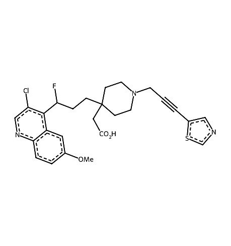 COc1ccc2ncc(Cl)c(C(F)CCC3(CC(=O)O)CCN(CC#Cc4cncs4)CC3)c2c1